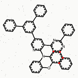 c1ccc(-c2cc(-c3ccccc3)cc(-c3cnc(N4c5ccccc5Oc5ccccc54)c(-c4nc(-c5ccccc5)nc(-c5ccccc5)n4)c3)c2)cc1